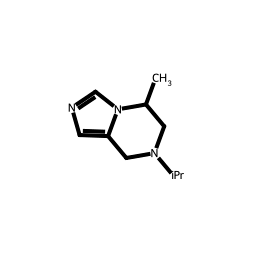 CC(C)N1Cc2cncn2C(C)C1